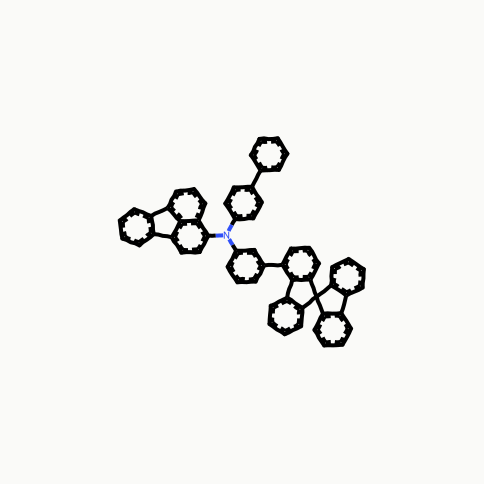 c1ccc(-c2ccc(N(c3cccc(-c4cccc5c4-c4ccccc4C54c5ccccc5-c5ccccc54)c3)c3ccc4c5c(cccc35)-c3ccccc3-4)cc2)cc1